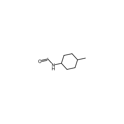 CC1CCC(N[C]=O)CC1